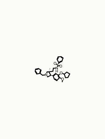 COc1ccc([C@H]2CN(Cc3ccccc3)C[C@@]2(C)CCNS(=O)(=O)c2ccccc2)cc1OC1CCCC1